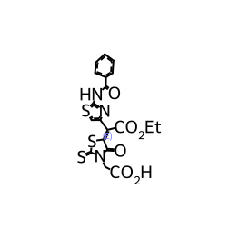 CCOC(=O)/C(=C1/SC(=S)N(CC(=O)O)C1=O)c1csc(NC(=O)c2ccccc2)n1